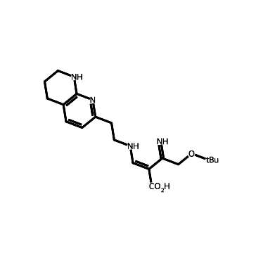 CC(C)(C)OCC(=N)/C(=C\NCCc1ccc2c(n1)NCCC2)C(=O)O